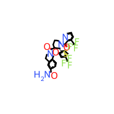 CCC[C@H]1N(C(=O)c2ncccc2C(F)(F)F)CCC[C@@]1(Oc1csc(C(F)(F)F)c1)C(=O)N1CCc2cc(C(N)=O)ccc2C1